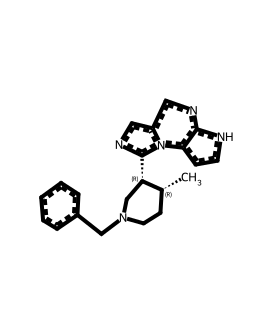 C[C@@H]1CCN(Cc2ccccc2)C[C@@H]1c1ncc2cnc3[nH]ccc3n12